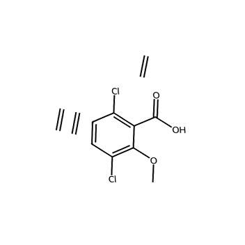 C=C.C=C.C=C.COc1c(Cl)ccc(Cl)c1C(=O)O